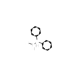 ClP[SH](c1ccccc1)c1ccccc1